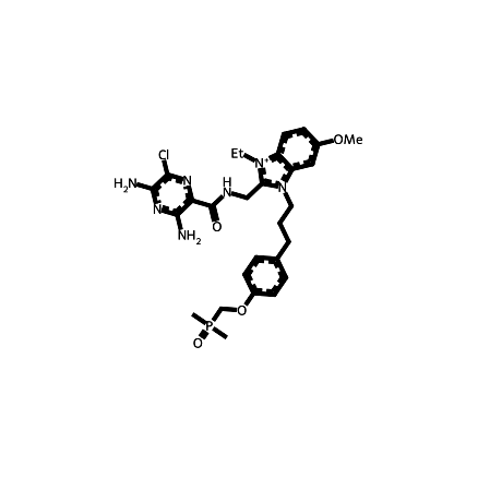 CC[n+]1c(CNC(=O)c2nc(Cl)c(N)nc2N)n(CCCc2ccc(OCP(C)(C)=O)cc2)c2cc(OC)ccc21